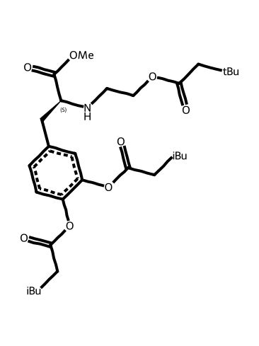 CCC(C)CC(=O)Oc1ccc(C[C@H](NCCOC(=O)CC(C)(C)C)C(=O)OC)cc1OC(=O)CC(C)CC